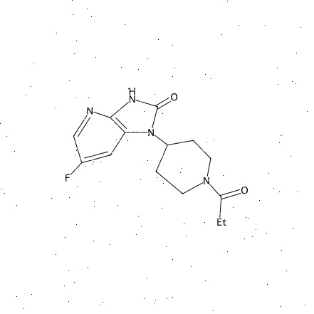 CCC(=O)N1CCC(n2c(=O)[nH]c3ncc(F)cc32)CC1